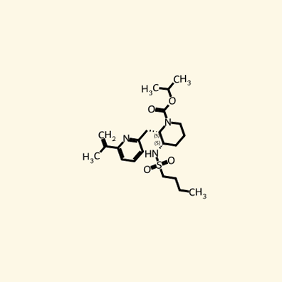 C=C(C)c1cccc(C[C@H]2[C@@H](NS(=O)(=O)CCCC)CCCN2C(=O)OC(C)C)n1